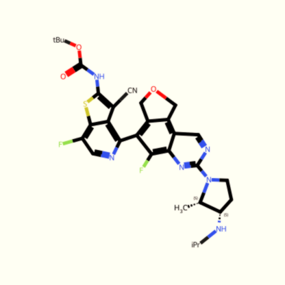 CC(C)N[C@H]1CCN(c2ncc3c4c(c(-c5ncc(F)c6sc(NC(=O)OC(C)(C)C)c(C#N)c56)c(F)c3n2)COC4)[C@H]1C